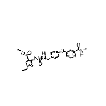 CCOC(=O)c1cc(CC)sc1NC(=O)NCc1ccc(Oc2ccnc(C(=O)NC)c2)cc1